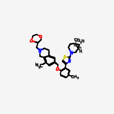 Cc1ccc(OCc2cc(C)c3c(c2)CCN(CC2COCCO2)C3)c(-c2csc(N3CC[C@@]4(C(=O)O)C[C@H]4C3)n2)c1